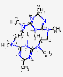 CC1N=C(N(C)C)NC(N(C)CCN(C)C2=NC(C)N=C(N(C)C)N2C)=N1